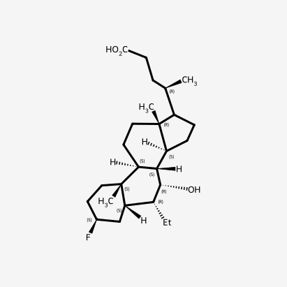 CC[C@H]1[C@@H](O)[C@@H]2[C@H](CC[C@]3(C)C([C@H](C)CCC(=O)O)CC[C@@H]23)[C@@]2(C)CC[C@H](F)C[C@@H]12